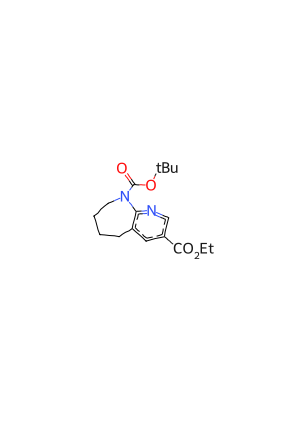 CCOC(=O)c1cnc2c(c1)CCCCN2C(=O)OC(C)(C)C